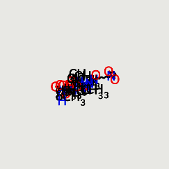 CC[C@H](C)[C@@H]([C@@H](CC(=O)N1CCC[C@H]1[C@H](OC)[C@@H](C)C(=O)N[C@@H](Cc1ccccc1)C(=O)O)OC)N(C)C(=O)[C@@H](/N=C(\N(C)C)N1CCN(C(=O)CCCCCN2C(=O)C=CC2=O)CC1)C(C)C